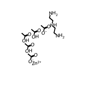 CC(=O)O.CC(=O)O.CC(=O)O.CC(=O)[O-].CC(=O)[O-].NCCNCCN.[Zn+2]